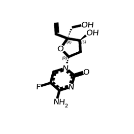 C=C[C@]1(CO)O[C@@H](n2cc(F)c(N)nc2=O)C[C@@H]1O